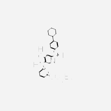 CCOC(=O)c1cccc(Nc2cnc(N(C)c3ccc(C4CCCCC4)cc3)cc2C)n1